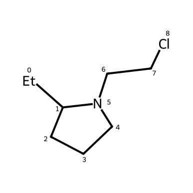 CCC1CCCN1CCCl